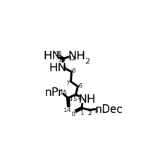 C=C(CCCCCCCCCCC)NC(CCCNC(=N)N)C(=C)CCC